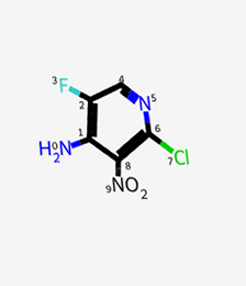 Nc1c(F)cnc(Cl)c1[N+](=O)[O-]